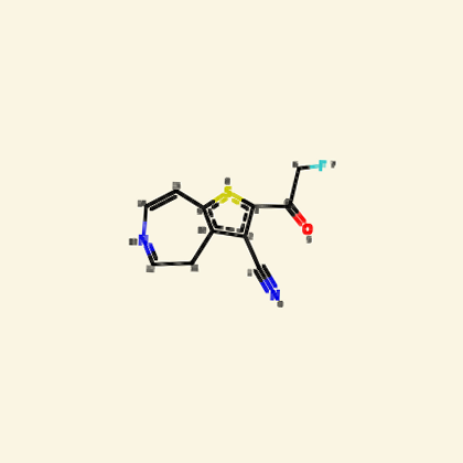 N#Cc1c(C(=O)CF)sc2c1CC=NC=C2